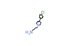 NCCCCN1CC=C(c2ccc(Cl)cc2)CC1